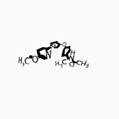 CCOc1ccc(N2CC[C@@H](Oc3ccc([C@H](C)NC(C)=O)cc3)C2)nc1